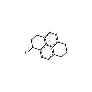 BrC1CCc2ccc3c4c(ccc1c24)CCC3